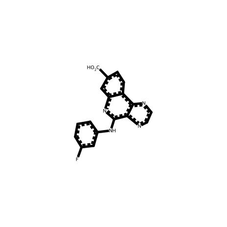 O=C(O)c1ccc2c(c1)nc(Nc1cccc(F)c1)c1nccnc12